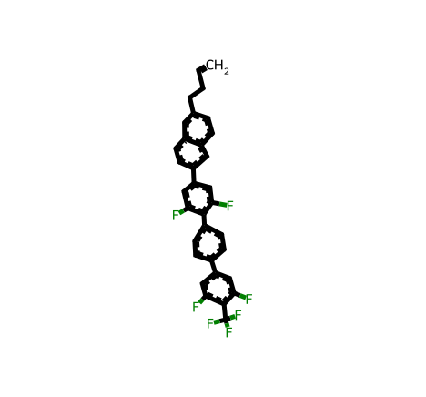 C=CCCc1ccc2cc(-c3cc(F)c(-c4ccc(-c5cc(F)c(C(F)(F)F)c(F)c5)cc4)c(F)c3)ccc2c1